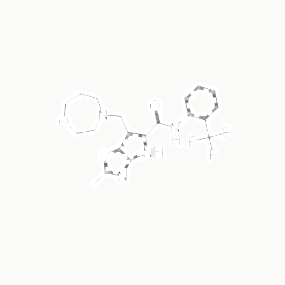 Cc1nc2[nH]c(C(=O)Nc3ccccc3C(F)(F)F)c(CN3CCCOCC3)c2s1